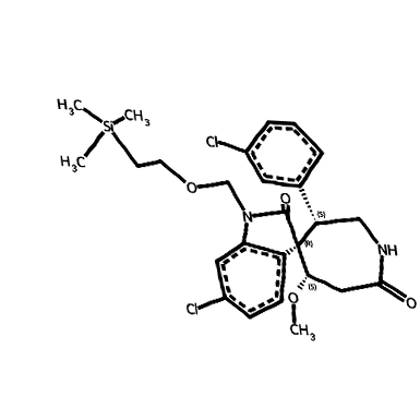 CO[C@H]1CC(=O)NC[C@@H](c2cccc(Cl)c2)[C@]12C(=O)N(COCC[Si](C)(C)C)c1cc(Cl)ccc12